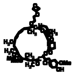 CO[C@@H]1/C(C)=C/[C@@H](C)C(=O)C[C@@H]([C@H](C)C[C@@H]2CC[C@@H](O)[C@H](OC)C2)OC(=O)[C@@H]2CCCCN2C(=O)C(=O)[C@]2(O)O[C@@H](CC[C@H]2C)C[C@@H](OCCOC2COC2)/C(C)=C/C=C/C=C/[C@@H](C)C[C@@H](C)C(=O)[C@@H]1OC